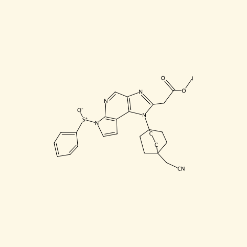 N#CCC12CCC(n3c(CC(=O)OI)nc4cnc5c(ccn5[S+]([O-])c5ccccc5)c43)(CC1)CC2